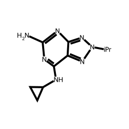 CC(C)n1nc2nc(N)nc(NC3CC3)c2n1